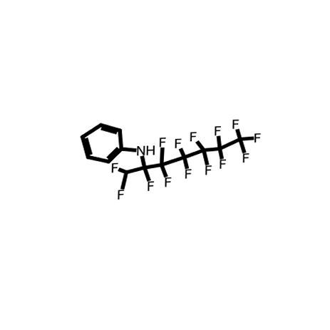 FC(F)C(F)(Nc1ccccc1)C(F)(F)C(F)(F)C(F)(F)C(F)(F)C(F)(F)F